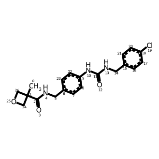 CC1(C(=O)NCc2ccc(NC(=O)NCc3ccc(Cl)cc3)cc2)COC1